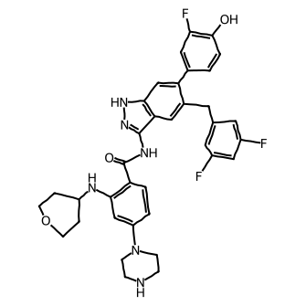 O=C(Nc1n[nH]c2cc(-c3ccc(O)c(F)c3)c(Cc3cc(F)cc(F)c3)cc12)c1ccc(N2CCNCC2)cc1NC1CCOCC1